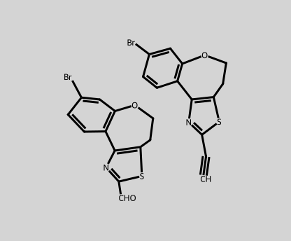 C#Cc1nc2c(s1)CCOc1cc(Br)ccc1-2.O=Cc1nc2c(s1)CCOc1cc(Br)ccc1-2